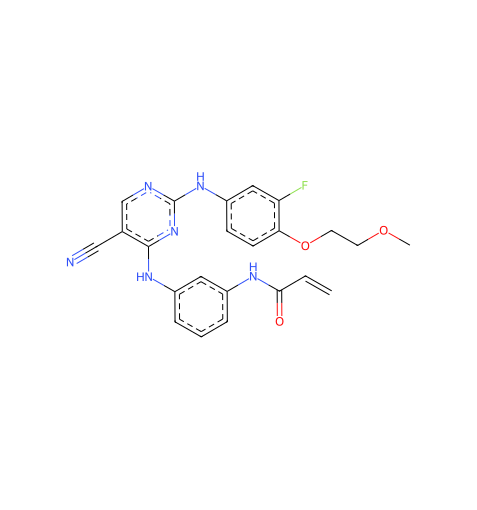 C=CC(=O)Nc1cccc(Nc2nc(Nc3ccc(OCCOC)c(F)c3)ncc2C#N)c1